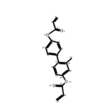 C=CC(=O)Oc1ccc(-c2ccc(OC(=O)C=C)cc2C)cc1